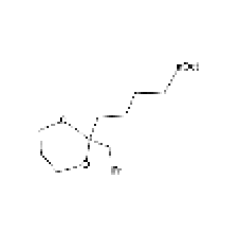 CCCCCCCCCCCCC1(CC(C)C)OCCCO1